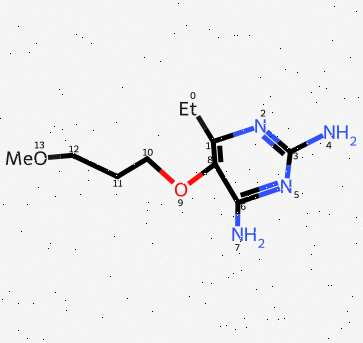 CCc1nc(N)nc(N)c1OCCCOC